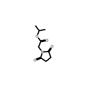 CC(C)OC(=O)CN1C(=O)CCC1=O